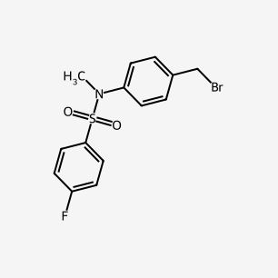 CN(c1ccc(CBr)cc1)S(=O)(=O)c1ccc(F)cc1